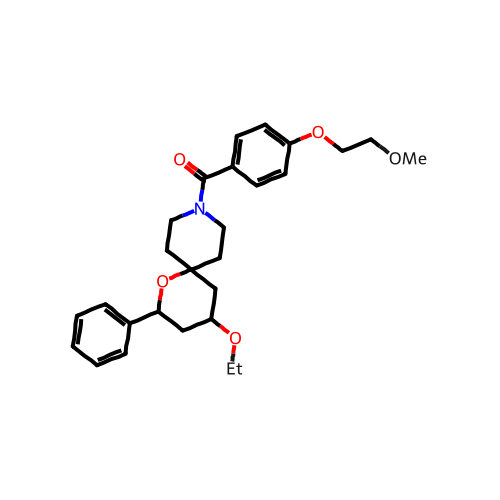 CCOC1CC(c2ccccc2)OC2(CCN(C(=O)c3ccc(OCCOC)cc3)CC2)C1